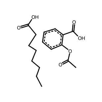 CC(=O)Oc1ccccc1C(=O)O.CCCCCCCC(=O)O